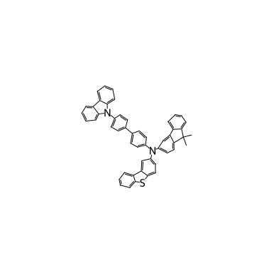 CC1(C)c2ccccc2-c2cc(N(c3ccc(-c4ccc(-n5c6ccccc6c6ccccc65)cc4)cc3)c3ccc4sc5ccccc5c4c3)ccc21